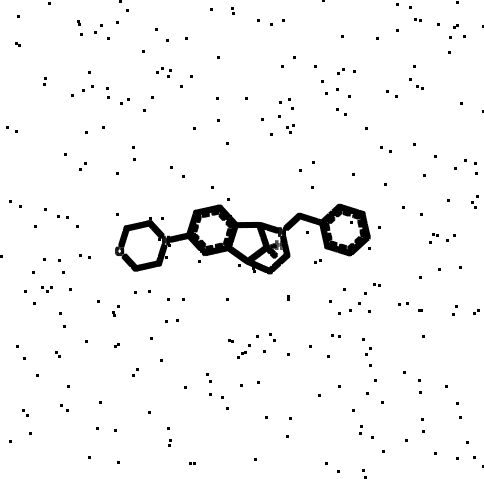 C[C@H]1C2CCN(Cc3ccccc3)C1c1ccc(N3CCOCC3)cc12